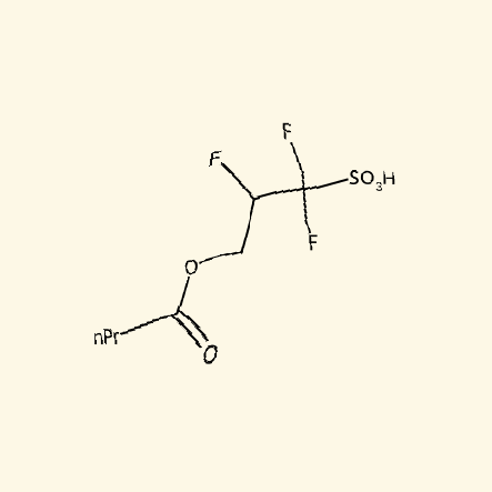 CCCC(=O)OCC(F)C(F)(F)S(=O)(=O)O